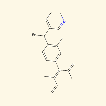 C=C/C(C)=C(\C(=C)C)c1ccc(C(CC)C(/C=N\C)=C/C)c(C)c1